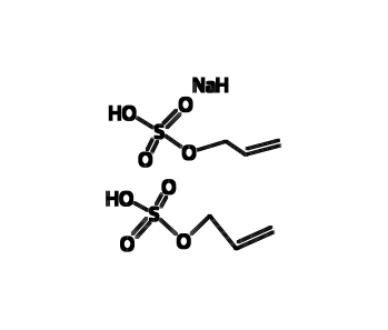 C=CCOS(=O)(=O)O.C=CCOS(=O)(=O)O.[NaH]